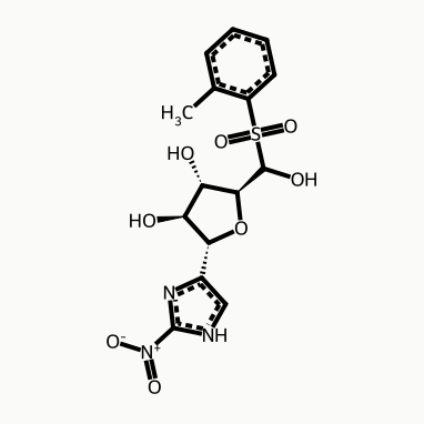 Cc1ccccc1S(=O)(=O)C(O)[C@H]1O[C@H](c2c[nH]c([N+](=O)[O-])n2)[C@@H](O)[C@@H]1O